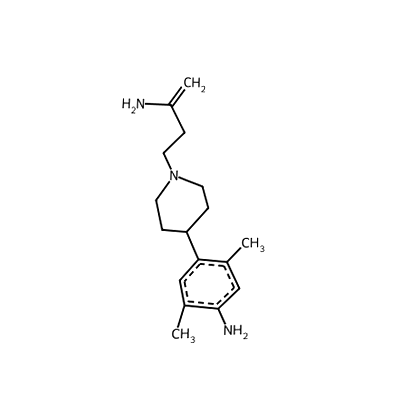 C=C(N)CCN1CCC(c2cc(C)c(N)cc2C)CC1